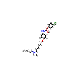 COCCN(C)CCCCCCO[C@H]1CC[C@H](NC(=O)Oc2ccc(Cl)cc2)CC1